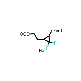 CCCCCC1C(CCC(=O)[O-])C1(F)F.[Na+]